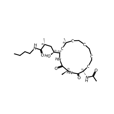 CCCCNC(=O)[C@H](C)C[C@H](O)[C@@H]1C[C@H](C)CCCCCCC[C@H](NC(C)=O)C(=O)N[C@@H](C)C(=O)N1